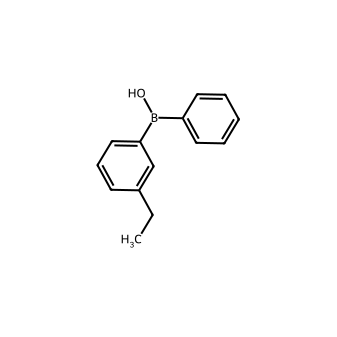 CCc1cccc(B(O)c2ccccc2)c1